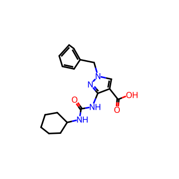 O=C(Nc1nn(Cc2ccccc2)cc1C(=O)O)NC1CCCCC1